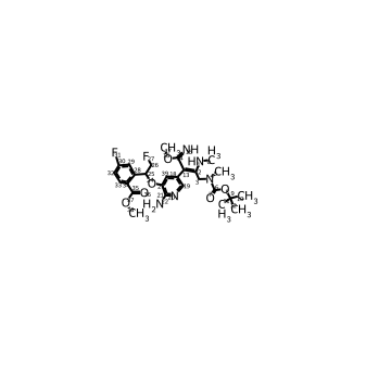 CN/C(CN(C)C(=O)OC(C)(C)C)=C(\C(=N)OC)c1cnc(N)c(OC(CF)c2cc(F)ccc2C(=O)OC)c1